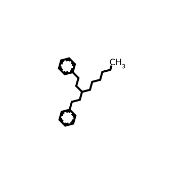 CCCCCCC(CCc1ccccc1)CCc1ccccc1